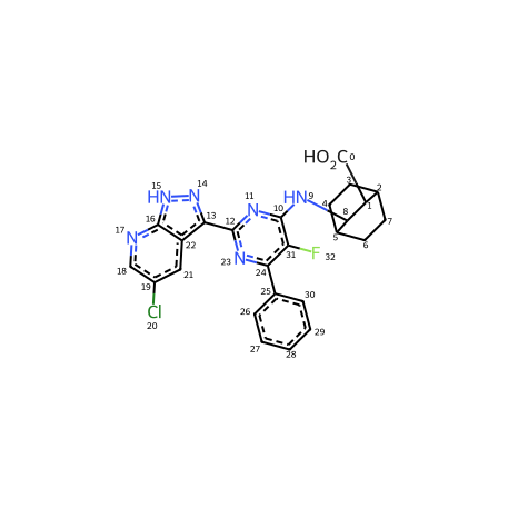 O=C(O)C1C2CCC(CC2)C1Nc1nc(-c2n[nH]c3ncc(Cl)cc23)nc(-c2ccccc2)c1F